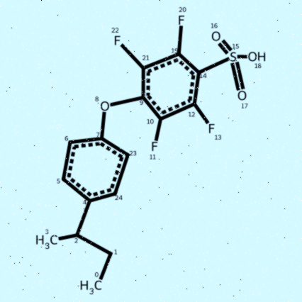 CCC(C)c1ccc(Oc2c(F)c(F)c(S(=O)(=O)O)c(F)c2F)cc1